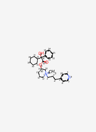 C[N+]1(CCCc2ccncc2)CCC[C@@H](OC(=O)C(O)(c2ccccc2)C2CCCCC2)C1